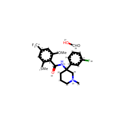 COc1cc(C(F)(F)F)cc(SC)c1C(=O)NC1(c2cccc(F)c2)CCCN(C)C1.O=CO